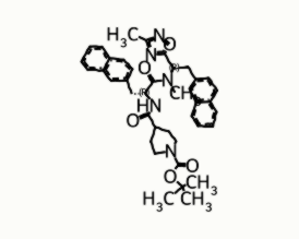 Cc1noc([C@@H](Cc2ccc3ccccc3c2)N(C)C(=O)[C@@H](Cc2ccc3ccccc3c2)NC(=O)C2CCN(C(=O)OC(C)(C)C)CC2)n1